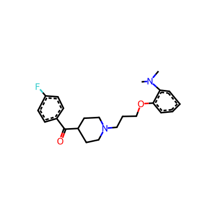 CN(C)c1ccccc1OCCCN1CCC(C(=O)c2ccc(F)cc2)CC1